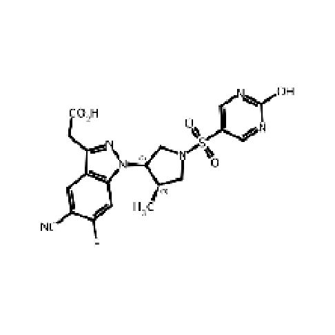 C[C@@H]1CN(S(=O)(=O)c2cnc(O)nc2)C[C@@H]1n1nc(CC(=O)O)c2cc(C#N)c(F)cc21